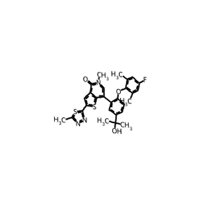 Cc1nnc(-c2cc3c(=O)n(C)cc(-c4cc(C(C)(C)O)ccc4Oc4c(C)cc(F)cc4C)c3s2)s1